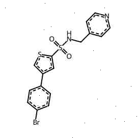 O=S(=O)(NCc1ccncc1)c1cc(-c2ccc(Br)cc2)cs1